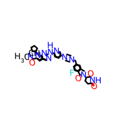 CN(C)C(=O)c1cc2cnc(Nc3ccc(N4CCN(Cc5cc(F)c6c(c5)CN(C5CCC(=O)NC5=O)C6=O)CC4)cn3)nc2n1C1CCCC1